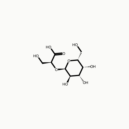 O=C(O)[C@H](CO)O[C@H]1O[C@H](CO)[C@H](O)[C@H](O)[C@H]1O